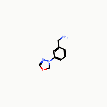 NCc1cccc(N2COC=N2)c1